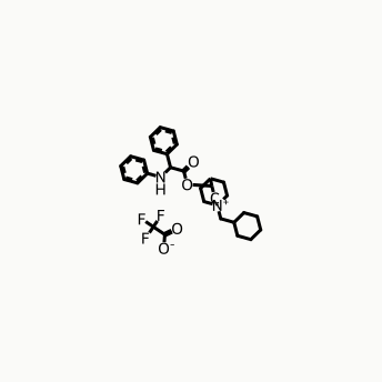 O=C(OC1C[N+]2(CC3CCCCC3)CCC1CC2)C(Nc1ccccc1)c1ccccc1.O=C([O-])C(F)(F)F